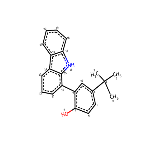 CC(C)(C)c1ccc(O)c(-c2cccc3c2[nH]c2ccccc23)c1